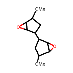 COC1CC(C2CC(OC)C3OC23)C2OC12